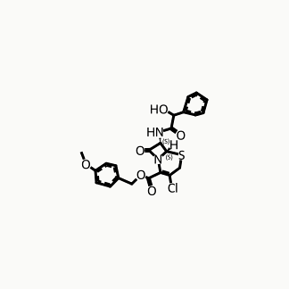 COc1ccc(COC(=O)C2=C(Cl)CS[C@H]3[C@@H](NC(=O)C(O)c4ccccc4)C(=O)N23)cc1